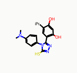 CC(C)c1cc(-c2nnc(S)n2-c2ccc(N(C)C)cc2)c(O)cc1O